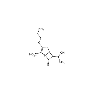 CC(O)C1C(=O)N2C(C(=O)O)=C(SCCN)CC12